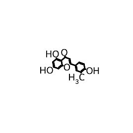 Cc1cc(-c2cc(=O)c3c(O)cc(O)cc3o2)ccc1O